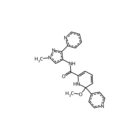 COC1(c2ccncc2)C=CC=C(C(=O)Nc2cn(C)nc2-c2ccccn2)N1